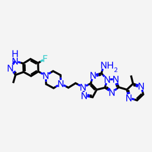 Cc1nccnc1-c1nc2c3cnn(CCN4CCN(c5cc6c(C)n[nH]c6cc5F)CC4)c3nc(N)n2n1